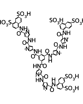 Cn1cc(NC(=O)c2cc(C(=O)Nc3cc(C(=O)Nc4cc(C(=O)Nc5ccc(S(=O)(=O)O)c6cc(S(=O)(=O)O)ccc56)n(C)c4)n(C)c3)cc(C(=O)Nc3cc(C(=O)Nc4cc(C(=O)Nc5ccc(S(=O)(=O)O)c6cc(S(=O)(=O)O)ccc56)n(C)c4)n(C)c3)c2)cc1C(=O)Nc1cc(C(=O)Nc2ccc(S(=O)(=O)O)c3cc(S(=O)(=O)O)ccc23)n(C)c1